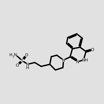 NS(=O)(=O)NCCC1CCN(c2n[nH]c(=O)c3ccccc23)CC1